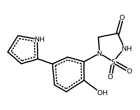 O=C1CN(c2cc(-c3ccc[nH]3)ccc2O)S(=O)(=O)N1